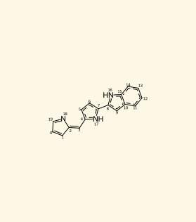 C1=CC(=Cc2ccc(-c3cc4ccccc4[nH]3)[nH]2)N=C1